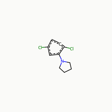 Clc1ccc(Cl)c(N2CCCC2)c1